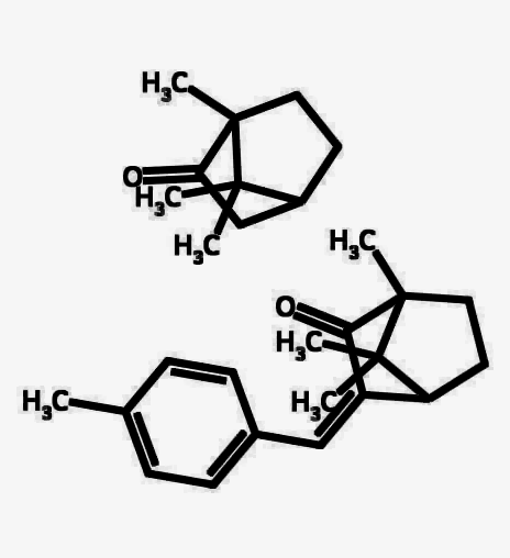 CC12CCC(CC1=O)C2(C)C.Cc1ccc(/C=C2\C(=O)C3(C)CCC2C3(C)C)cc1